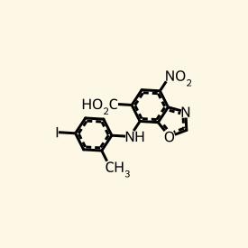 Cc1cc(I)ccc1Nc1c(C(=O)O)cc([N+](=O)[O-])c2ncoc12